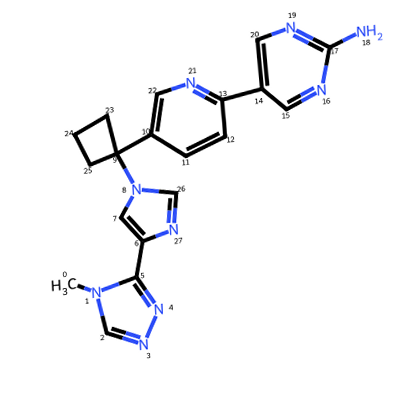 Cn1cnnc1-c1cn(C2(c3ccc(-c4cnc(N)nc4)nc3)CCC2)cn1